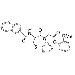 COc1ccccc1OC(=O)CN1C(=O)C(NC(=O)c2ccc3ccccc3c2)CSc2ccccc21